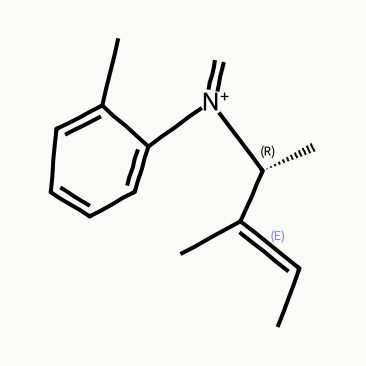 C=[N+](c1ccccc1C)[C@H](C)/C(C)=C/C